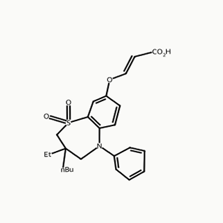 CCCCC1(CC)CN(c2ccccc2)c2ccc(O/C=C/C(=O)O)cc2S(=O)(=O)C1